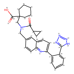 O=C(C1CC1)N(Cc1ccc2nc(-c3ccccc3-c3nnn[nH]3)ccc2c1)CC1(C(=O)O)CCCCC1